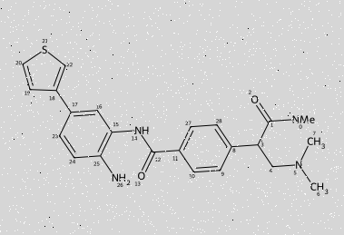 CNC(=O)C(CN(C)C)c1ccc(C(=O)Nc2cc(-c3ccsc3)ccc2N)cc1